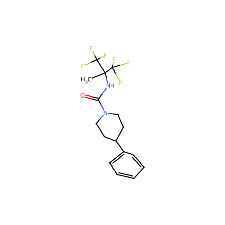 CC(NC(=O)N1CCC(c2ccccc2)CC1)(C(F)(F)F)C(F)(F)F